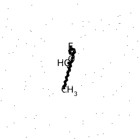 CCCCCCCCCSCC(O)COCc1ccc(F)cc1